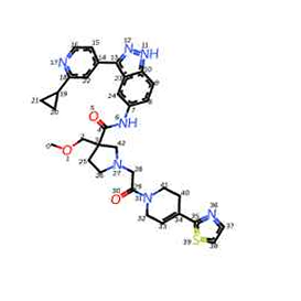 COCC1(C(=O)Nc2ccc3[nH]nc(-c4ccnc(C5CC5)c4)c3c2)CCN(CC(=O)N2CC=C(c3nccs3)CC2)C1